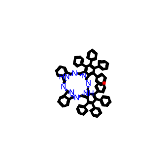 c1ccc(-c2c(-c3ccccc3)c(-c3ccccc3)c3c(c2-c2ccccc2)-c2nc-3nc3[nH]c(nc4nc(nc5[nH]c(n2)c2ccccc52)-c2ccccc2-4)c2c(-c4ccccc4)c(-c4ccccc4)c(-c4ccccc4)c(-c4ccccc4)c32)cc1